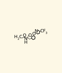 C=CC(=O)NC1COc2c(cccc2Oc2ccc(C(F)(F)F)cn2)C1